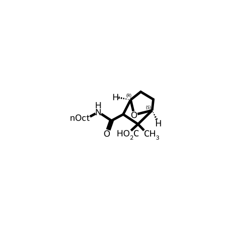 CCCCCCCCNC(=O)C1[C@H]2CC[C@H](O2)C1(C)C(=O)O